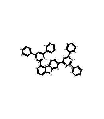 c1ccc(-c2cc(-c3ccccc3)nc(-c3cccc4oc5cc(-c6nc(-c7ccccc7)nc(-c7ccccc7)n6)ccc5c34)n2)cc1